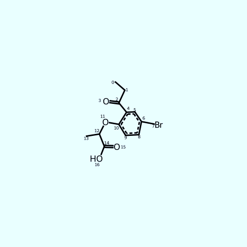 CCC(=O)c1cc(Br)ccc1OC(C)C(=O)O